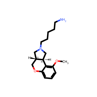 COc1cccc2c1[C@@H]1CN(CCCCCN)C[C@H]1CO2